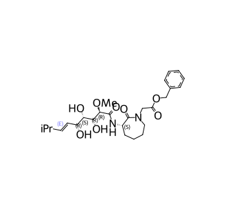 CO[C@@H](C(=O)N[C@H]1CCCCN(CC(=O)OCc2ccccc2)C1=O)[C@H](O)[C@@H](O)[C@H](O)/C=C/C(C)C